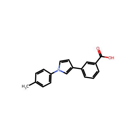 Cc1ccc(-n2ccc(-c3cccc(C(=O)O)c3)c2)cc1